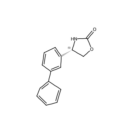 O=C1N[C@@H](c2cccc(-c3ccccc3)c2)CO1